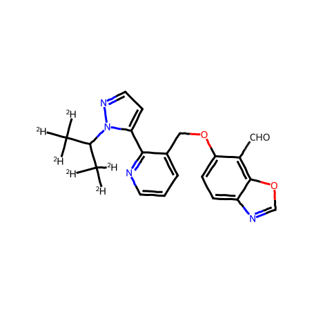 [2H]C([2H])([2H])C(n1nccc1-c1ncccc1COc1ccc2ncoc2c1C=O)C([2H])([2H])[2H]